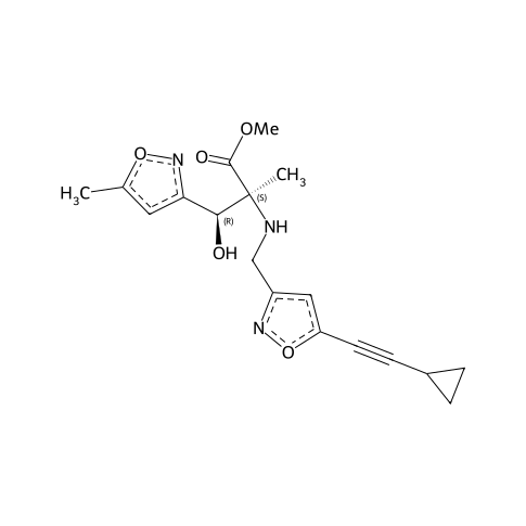 COC(=O)[C@@](C)(NCc1cc(C#CC2CC2)on1)[C@@H](O)c1cc(C)on1